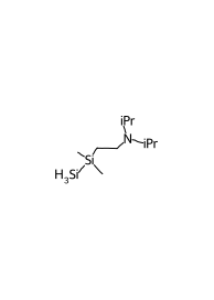 CC(C)N(CC[Si](C)(C)[SiH3])C(C)C